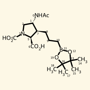 CC(=O)N[C@H]1CN(C(=O)O)[C@H](C(=O)O)[C@@H]1CCCB1OC(C)(C)C(C)(C)O1